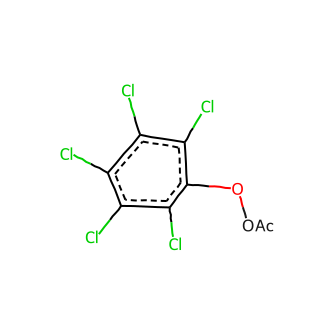 CC(=O)OOc1c(Cl)c(Cl)c(Cl)c(Cl)c1Cl